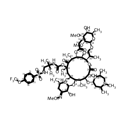 CO/N=C1\C[C@@H](C)O[C@@H](O[C@@H]2[C@@H](C)[C@H](O[C@H]3CC(C)N(C)C[C@H](C)O3)[C@@H](C)C(=O)O[C@H](C(C)CO[C@@H]3O[C@H](C)[C@@H](O)[C@@H](OC)[C@H]3OC)[C@H](C)[C@@H](OC(=O)CC(C)C)[C@@H](C)C(=O)[C@@](C)(OC(=O)NC(C)(C)CNS(=O)(=O)c3ccc(OC(F)(F)F)cc3)C[C@@H]2C)[C@@H]1O